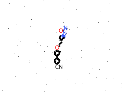 CN(C)C(=O)N(C)N1CC[C@@H](CCCOc2ccc(-c3ccc(C#N)cc3)cc2)C1